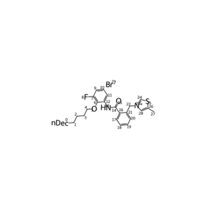 CCCCCCCCCCCCCCOc1c(F)cccc1NC(=O)c1ccccc1C[n+]1csc(C)c1.[Br-]